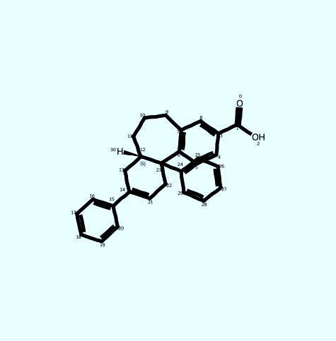 O=C(O)c1ccc2c(c1)CCC[C@H]1CC(c3ccccc3)=CCC21c1ccccc1